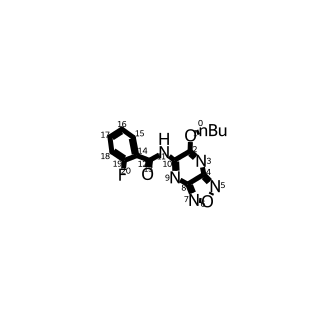 CCCCOc1nc2nonc2nc1NC(=O)c1ccccc1F